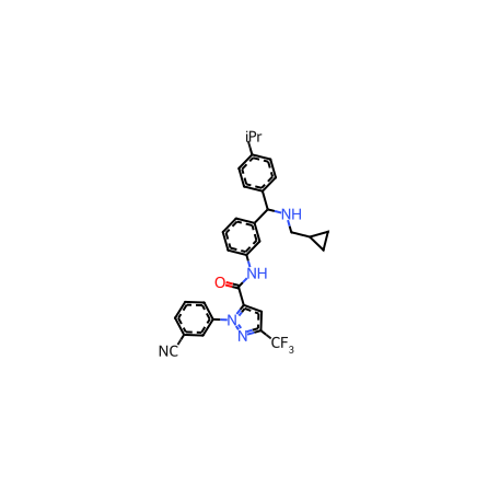 CC(C)c1ccc(C(NCC2CC2)c2cccc(NC(=O)c3cc(C(F)(F)F)nn3-c3cccc(C#N)c3)c2)cc1